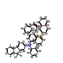 CC1(C)c2ccccc2-c2ccc(N(c3ccc4c(c3)Sc3ccc5ccccc5c3C43c4ccccc4-c4ccccc43)c3ccccc3-c3ccccc3)cc21